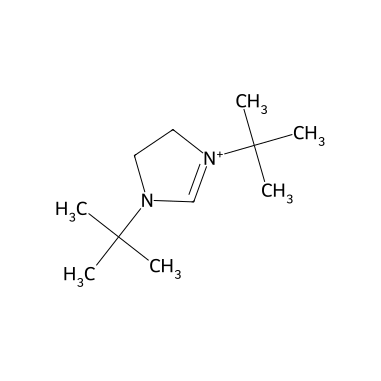 CC(C)(C)N1C=[N+](C(C)(C)C)CC1